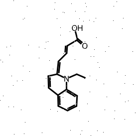 CCN1C(=CC=CC(=O)O)C=Cc2ccccc21